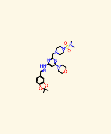 CN(C)S(=O)(=O)N1CCN(Cc2nc(NN=Cc3ccc4c(c3)OC(C)(C)O4)cc(N3CCOCC3)n2)CC1